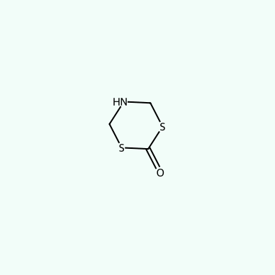 O=C1SCNCS1